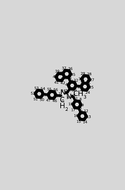 C=C(/N=C(\N=C(/C)c1ccc(-c2ccccc2)cc1)c1cc(-c2cccc3ccccc23)cc(-c2cccc3ccccc23)c1)c1ccc(-c2ccccc2)cc1